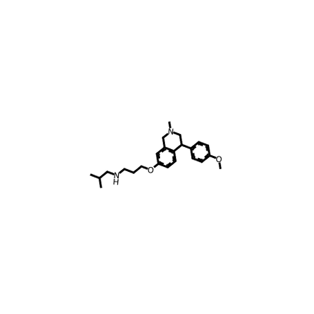 COc1ccc(C2CN(C)Cc3cc(OCCCNCC(C)C)ccc32)cc1